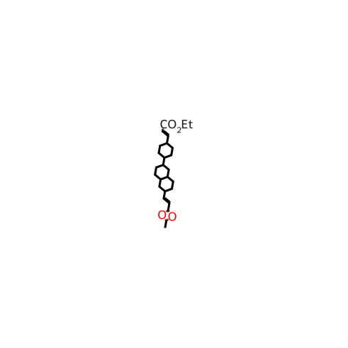 CCOC(=O)/C=C/C1CCC(C2CCC3CC(/C=C/C4OC(C)O4)CCC3C2)CC1